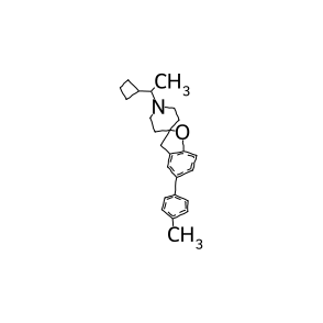 Cc1ccc(-c2ccc3c(c2)CC2(CCN(C(C)C4CCC4)CC2)O3)cc1